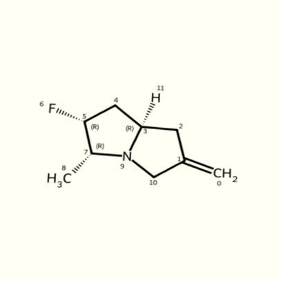 C=C1C[C@@H]2C[C@@H](F)[C@@H](C)N2C1